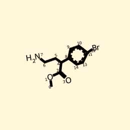 COC(=O)C(CCN)c1ccc(Br)cc1